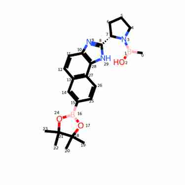 CB(O)N1CCC[C@H]1c1nc2ccc3cc(B4OC(C)(C)C(C)(C)O4)ccc3c2[nH]1